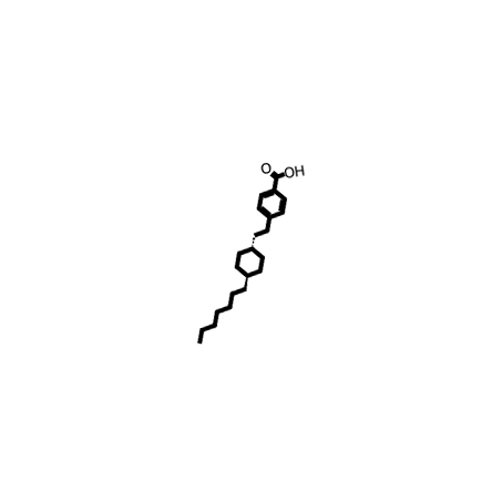 CCCCCCC[C@H]1CC[C@H](CCc2ccc(C(=O)O)cc2)CC1